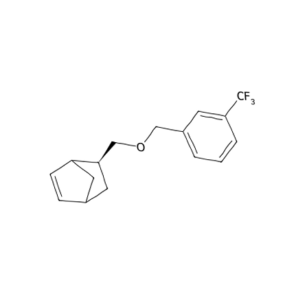 FC(F)(F)c1cccc(COC[C@H]2CC3C=CC2C3)c1